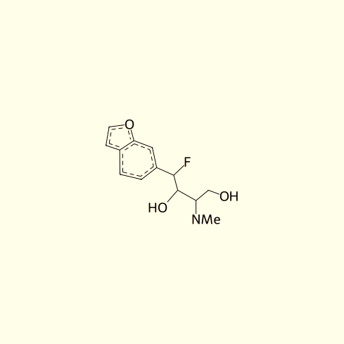 CNC(CO)C(O)C(F)c1ccc2ccoc2c1